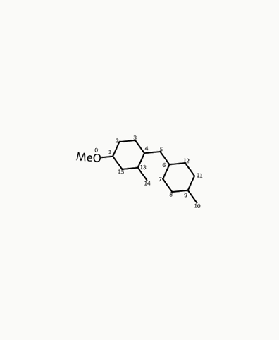 COC1CCC(CC2CCC(C)CC2)C(C)C1